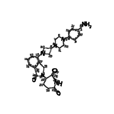 Nc1ccc(N2CCN(C3CN(c4cccc5c4CN(C4CCC(=O)NC4=O)C5=O)C3)CC2)cc1